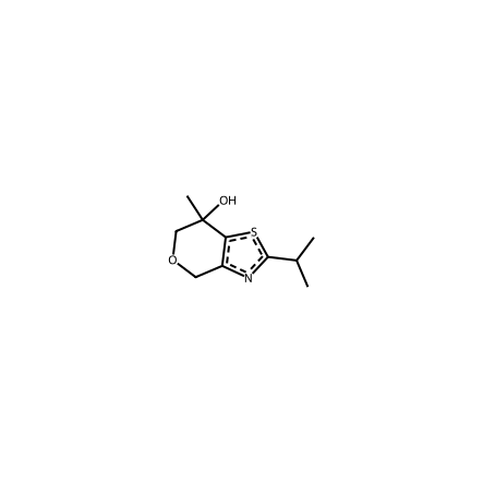 CC(C)c1nc2c(s1)C(C)(O)COC2